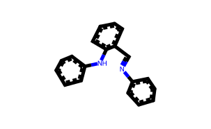 C(=Nc1ccccc1)c1ccccc1Nc1ccccc1